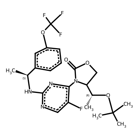 C[C@H](Nc1ncc(F)c(N2C(=O)OCC2[C@@H](C)OC(C)(C)C)n1)c1cccc(OC(F)(F)F)c1